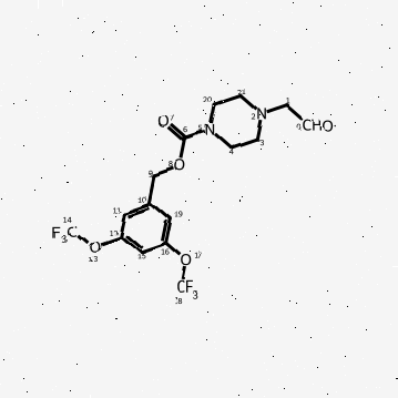 O=[C]CN1CCN(C(=O)OCc2cc(OC(F)(F)F)cc(OC(F)(F)F)c2)CC1